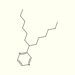 CCCCCCC(CCCCCC)c1cnccn1